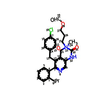 CC(C)c1ccccc1-c1ncc2c(c1Cc1ccc(Cl)cc1)C(=O)[N+](C)(CCCOC=O)C(=O)N2